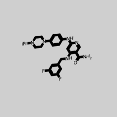 CC(C)N1CCN(c2ccc(Nc3cc(NCc4cc(F)cc(F)c4)c(C(N)=O)cn3)cc2)CC1